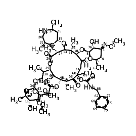 CON=C1C[C@@H](C)O[C@@H](O[C@@H]2[C@@H](C)[C@H](O[C@H]3C[C@H](C)NC[C@H](C)O3)[C@@H](C)C(=O)O[C@H](C(C)CO[C@@H]3O[C@H](C)[C@@H](O)[C@@H](OC)[C@H]3OC)[C@H](C)[C@@H](OC(=O)CC(C)C)[C@@H](C)C(=O)[C@@](C)(OC(=O)NCc3ccccc3)C[C@@H]2C)[C@@H]1O